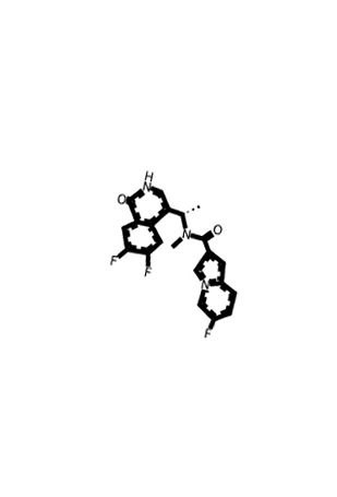 C[C@@H](c1c[nH]c(=O)c2cc(F)c(F)cc12)N(C)C(=O)c1cc2ccc(F)cn2c1